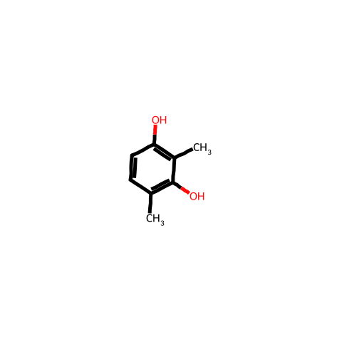 Cc1ccc(O)c(C)c1O